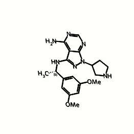 COc1cc(OC)cc([C@H](C)Nc2nn(C3CCNC3)c3ncnc(N)c23)c1